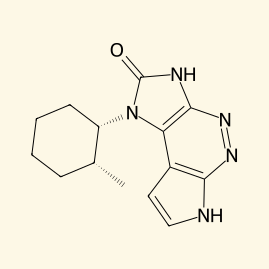 C[C@@H]1CCCC[C@@H]1n1c(=O)[nH]c2nnc3[nH]ccc3c21